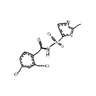 Cc1ncc(S(=O)(=O)NC(=O)c2ccc(Cl)cc2Cl)s1